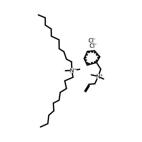 C=CC[N+](C)(C)Cc1ccccc1.CCCCCCCCCC[N+](C)(C)CCCCCCCCCC.[Cl-].[Cl-]